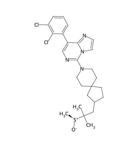 C[S@+]([O-])C(C)(C)CC1CCC2(CCN(c3ncc(-c4cccc(Cl)c4Cl)c4nccn34)CC2)C1